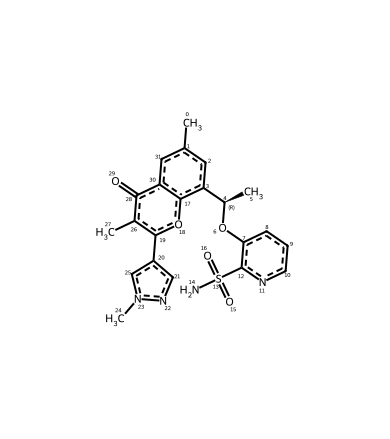 Cc1cc([C@@H](C)Oc2cccnc2S(N)(=O)=O)c2oc(-c3cnn(C)c3)c(C)c(=O)c2c1